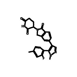 Cc1ccc(-c2c(-c3ccc4c(c3)CN(C3CCC(=O)NC3=O)C4=O)cnn2C)c(F)c1